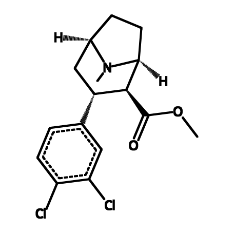 COC(=O)[C@H]1[C@H](c2ccc(Cl)c(Cl)c2)C[C@H]2CC[C@@H]1N2C